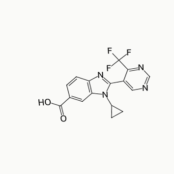 O=C(O)c1ccc2nc(-c3cncnc3C(F)(F)F)n(C3CC3)c2c1